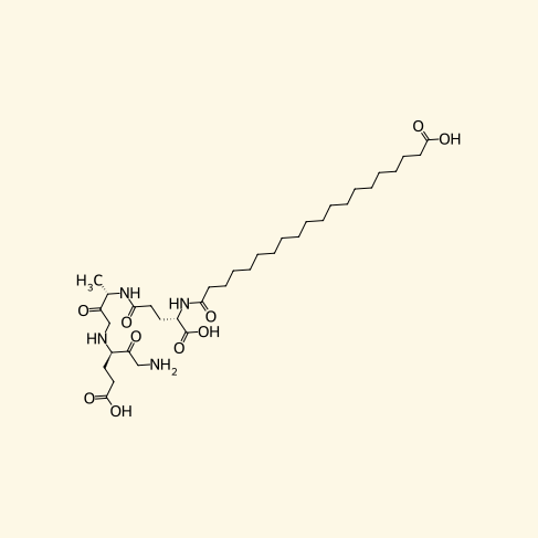 C[C@H](NC(=O)CC[C@H](NC(=O)CCCCCCCCCCCCCCCCCCC(=O)O)C(=O)O)C(=O)CN[C@H](CCC(=O)O)C(=O)CN